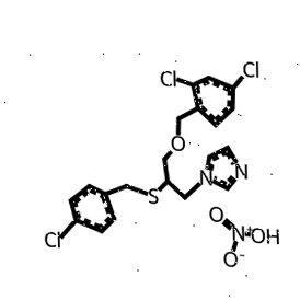 Clc1ccc(CSC(COCc2ccc(Cl)cc2Cl)Cn2ccnc2)cc1.O=[N+]([O-])O